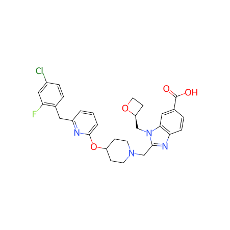 O=C(O)c1ccc2nc(CN3CCC(Oc4cccc(Cc5ccc(Cl)cc5F)n4)CC3)n(C[C@@H]3CCO3)c2c1